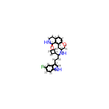 O=C1NCCc2ccc3c(c21)CC(NC(CCc1c[nH]c2ccc(F)cc12)C1CCC1)CO3